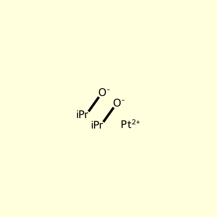 CC(C)[O-].CC(C)[O-].[Pt+2]